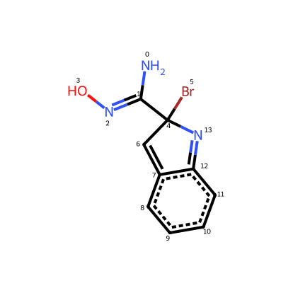 NC(=NO)C1(Br)C=c2ccccc2=N1